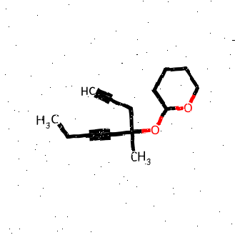 C#CCC(C)(C#CCC)OC1CCCCO1